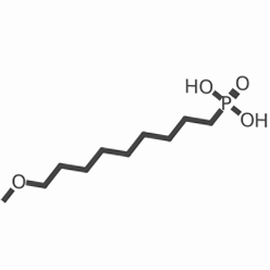 COCCCCCCCCCP(=O)(O)O